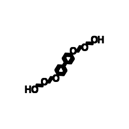 OCCOCCOc1ccc(-c2ccc(OCCOCCO)cc2)cc1